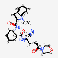 Cn1c(C(=O)N[C@H]2CCCC[C@H]2C(=O)N[C@H](C#N)CCC(=O)N2CCOCC2)cc2ccccc21